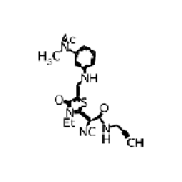 C#CCNC(=O)C(C#N)=c1sc(=CNc2cccc(N(C)C(C)=O)c2)c(=O)n1CC